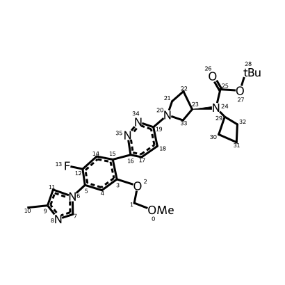 COCOc1cc(-n2cnc(C)c2)c(F)cc1-c1ccc(N2CC[C@@H](N(C(=O)OC(C)(C)C)C3CCC3)C2)nn1